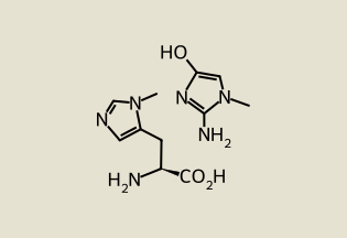 Cn1cc(O)nc1N.Cn1cncc1C[C@H](N)C(=O)O